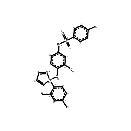 Cc1ccc(S(=O)(=O)Nc2ccc(O[N+]3(c4ccc(C)cc4C)C=CC=N3)c(Cl)c2)cc1